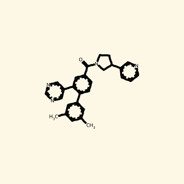 Cc1cc(C)cc(-c2ccc(C(=O)N3CCC(c4cccnc4)C3)cc2-c2cncnc2)c1